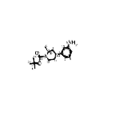 C[C@H]1CN(c2cccc(N)c2)CCN1C(=O)OC(C)(C)C